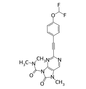 CN(C)C(=O)n1c(=O)n(C)c2cnc(C#Cc3ccc(OC(F)F)cc3)nc21